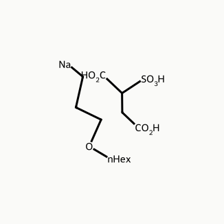 CCCCCCOCC[CH2][Na].O=C(O)CC(C(=O)O)S(=O)(=O)O